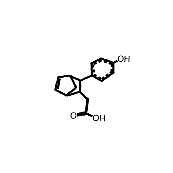 O=C(O)CC1C2C=CC(C2)C1c1ccc(O)cc1